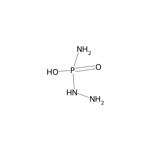 NNP(N)(=O)O